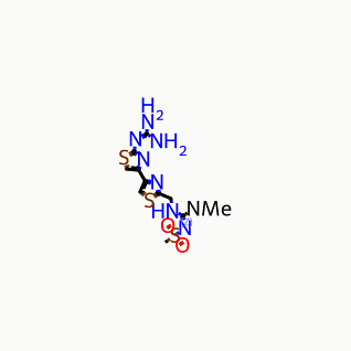 CN/C(=N/S(C)(=O)=O)NCc1nc(-c2csc(N=C(N)N)n2)cs1